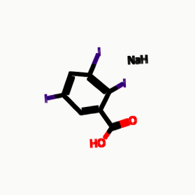 O=C(O)c1cc(I)cc(I)c1I.[NaH]